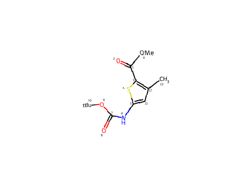 COC(=O)c1sc(NC(=O)OC(C)(C)C)cc1C